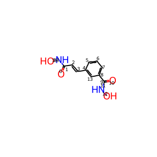 O=C(/C=C/c1cccc(C(=O)NO)c1)NO